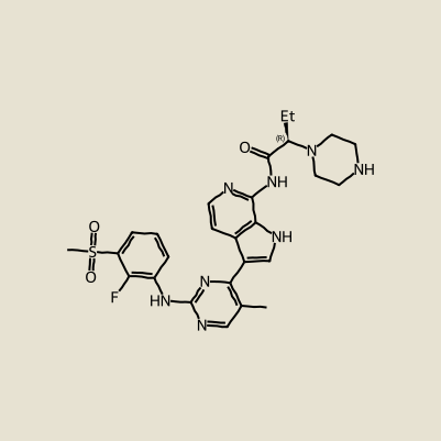 CC[C@H](C(=O)Nc1nccc2c(-c3nc(Nc4cccc(S(C)(=O)=O)c4F)ncc3C)c[nH]c12)N1CCNCC1